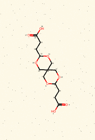 O=C(O)CCC1OCC2(CO1)COC(CCC(=O)O)OC2